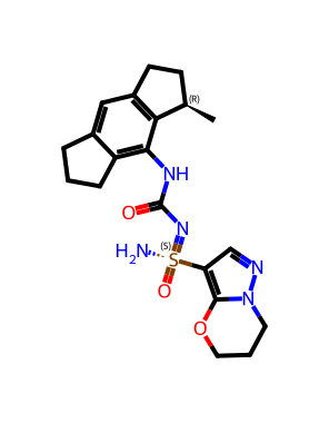 C[C@@H]1CCc2cc3c(c(NC(=O)N=[S@](N)(=O)c4cnn5c4OCCC5)c21)CCC3